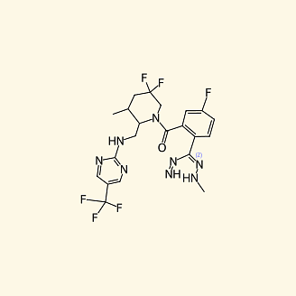 CN/N=C(\N=N)c1ccc(F)cc1C(=O)N1CC(F)(F)CC(C)C1CNc1ncc(C(F)(F)F)cn1